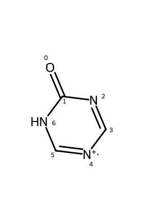 O=C1N=C[N+]=CN1